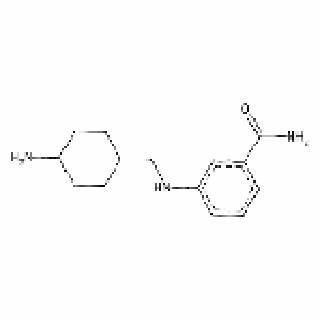 NC(=O)c1cccc(NCC2CCC(N)CC2)c1